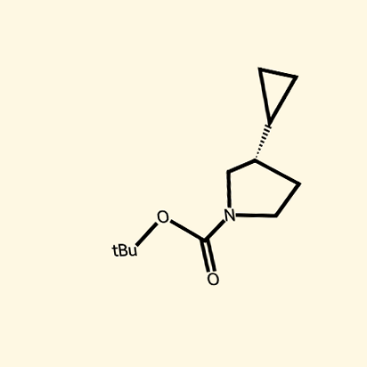 CC(C)(C)OC(=O)N1CC[C@@H](C2CC2)C1